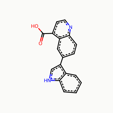 O=C(O)c1ccnc2ccc(-c3c[nH]c4ccccc34)cc12